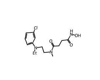 CCN(CCN(C)C(=O)CCC(=O)NO)c1cccc(Cl)c1